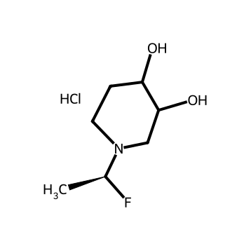 C[C@H](F)N1CCC(O)C(O)C1.Cl